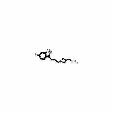 NCC1CN(CCCc2noc3cc(F)ccc23)C1